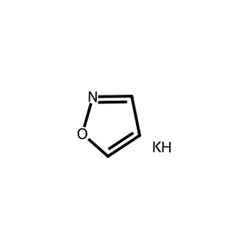 [KH].c1cnoc1